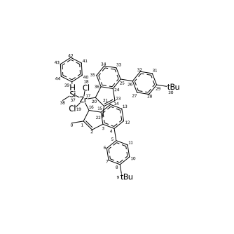 CC1=Cc2c(-c3ccc(C(C)(C)C)cc3)cccc2[CH]1[Zr]([Cl])([Cl])([CH]1C(C)=Cc2c(-c3ccc(C(C)(C)C)cc3)cccc21)[SiH](C)c1ccccc1